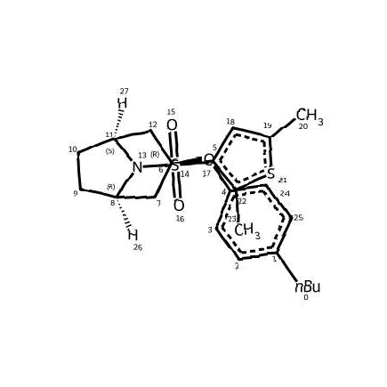 CCCCc1ccc(O[C@H]2C[C@H]3CC[C@@H](C2)N3S(=O)(=O)c2cc(C)sc2C)cc1